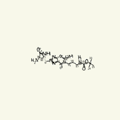 C[C@@H](c1cnn(C[C@H]2NC(=O)[C@H]2N)n1)N(CCCNC(=O)OC(C)(C)C)C(=O)O